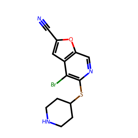 N#Cc1cc2c(Br)c(SC3CCNCC3)ncc2o1